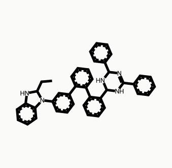 CCC1Nc2ccccc2N1c1cccc(-c2ccccc2-c2ccccc2C2NC(c3ccccc3)=NC(c3ccccc3)N2)c1